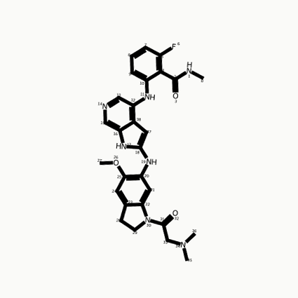 CNC(=O)c1c(F)cccc1Nc1cncc2[nH]c(Nc3cc4c(cc3OC)CCN4C(=O)CN(C)C)cc12